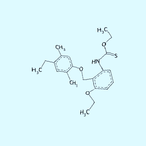 CCOC(=S)Nc1cccc(OCC)c1COc1cc(C)c(CC)cc1C